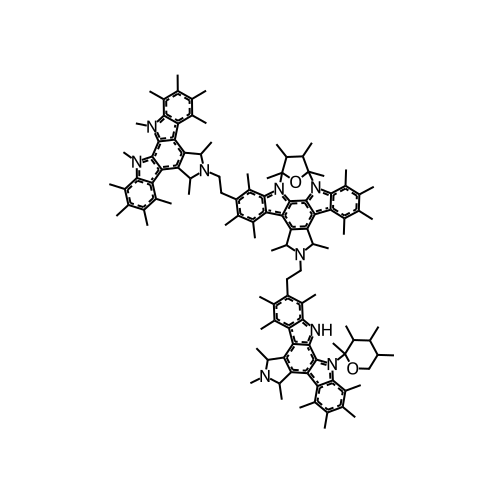 Cc1c(CCN2C(C)c3c(c4c5c(C)c(C)c(CCN6C(C)c7c(c8c9c(C)c(C)c(C)c(C)c9n(C)c8c8c7c7c(C)c(C)c(C)c(C)c7n8C)C6C)c(C)c5n5c4c4c3c3c(C)c(C)c(C)c(C)c3n4C3(C)OC5(C)C(C)C3C)C2C)c(C)c2[nH]c3c(c4c(c5c6c(C)c(C)c(C)c(C)c6n(C6(C)OCC(C)C(C)C6C)c35)C(C)N(C)C4C)c2c1C